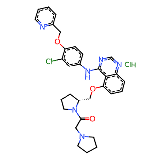 Cl.O=C(CN1CCCC1)N1CCC[C@@H]1COc1cccc2ncnc(Nc3ccc(OCc4ccccn4)c(Cl)c3)c12